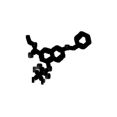 CCOC(=O)c1cc(OS(=O)(=O)C(F)(F)F)c2ccc(OCc3ccccc3)cc2c1